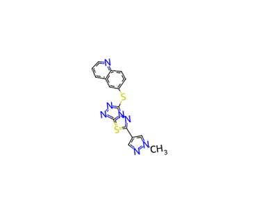 Cn1cc(-c2nn3c(Sc4ccc5ncccc5c4)nnc3s2)cn1